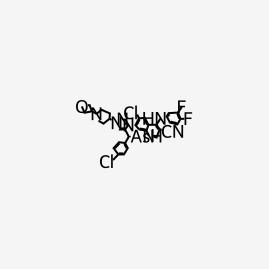 N#Cc1cnc2c([AsH][C@@H](c3ccc(Cl)cc3)c3cn(C4CCN(C5COC5)CC4)nn3)cc(Cl)cc2c1Nc1ccc(F)c(F)c1